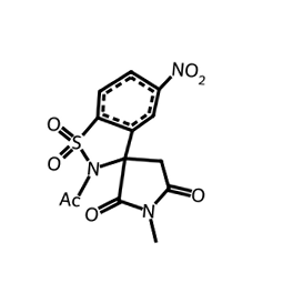 CC(=O)N1C2(CC(=O)N(C)C2=O)c2cc([N+](=O)[O-])ccc2S1(=O)=O